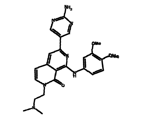 COc1ccc(Nc2nc(-c3cnc(N)nc3)cc3ccn(CCN(C)C)c(=O)c23)cc1OC